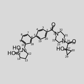 O=C(c1ccc(-c2cccc(N3CCCS3(O)O)c2)cc1)N1CCN(C(=O)C2(O)CC2)CC1